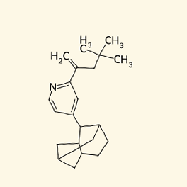 C=C(CC(C)(C)C)c1cc(C2C3CCC4CC(C3)CC42)ccn1